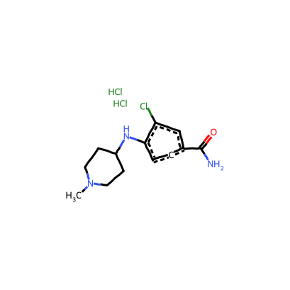 CN1CCC(Nc2ccc(C(N)=O)cc2Cl)CC1.Cl.Cl